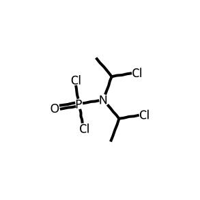 CC(Cl)N(C(C)Cl)P(=O)(Cl)Cl